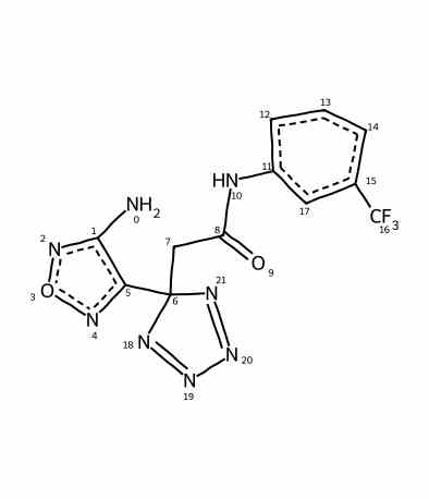 Nc1nonc1C1(CC(=O)Nc2cccc(C(F)(F)F)c2)N=NN=N1